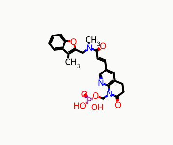 Cc1c(CN(C)C(=O)/C=C/c2cnc3c(c2)CCC(=O)N3COP(=O)(O)O)oc2ccccc12